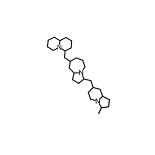 CC1CCC2CC(CC3CCC4CC(CC5CCCC6CCCCN65)CCCN34)CCN12